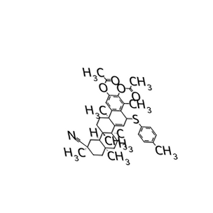 CC(=O)Oc1cc2c(c(C)c1OC(C)=O)C(Sc1ccc(C)cc1)C=C1[C@@]2(C)CC[C@@]2(C)[C@@H]3C[C@](C)(C#N)CC[C@]3(C)CC[C@]12C